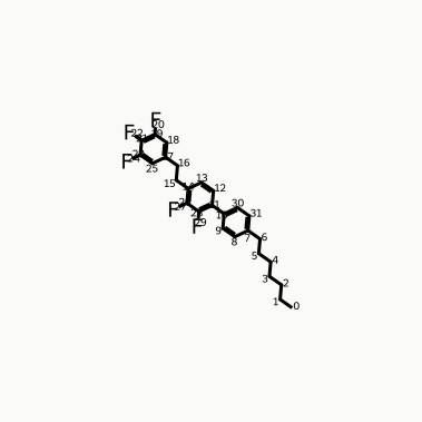 CCCCCCCc1ccc(-c2ccc(CCc3cc(F)c(F)c(F)c3)c(F)c2F)cc1